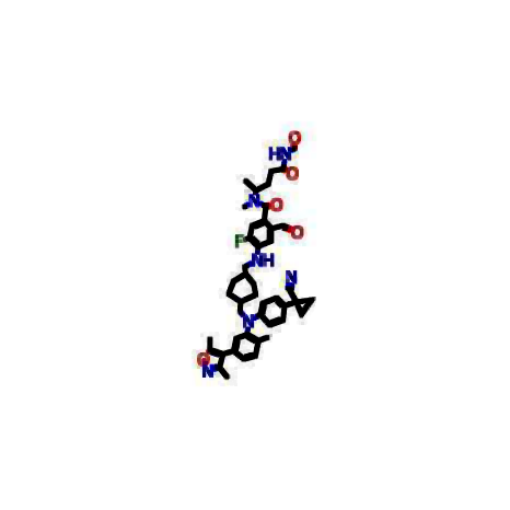 Cc1ccc(-c2c(C)noc2C)cc1N(CC1CCC(CNc2cc(C=O)c(C(=O)N(C)C(C)CCC(=O)NC=O)cc2F)CC1)c1ccc(C2(C#N)CC2)cc1